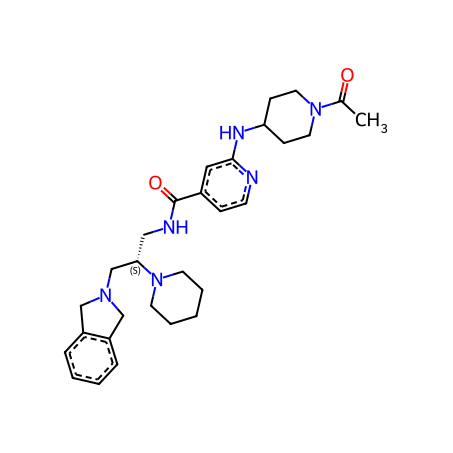 CC(=O)N1CCC(Nc2cc(C(=O)NC[C@@H](CN3Cc4ccccc4C3)N3CCCCC3)ccn2)CC1